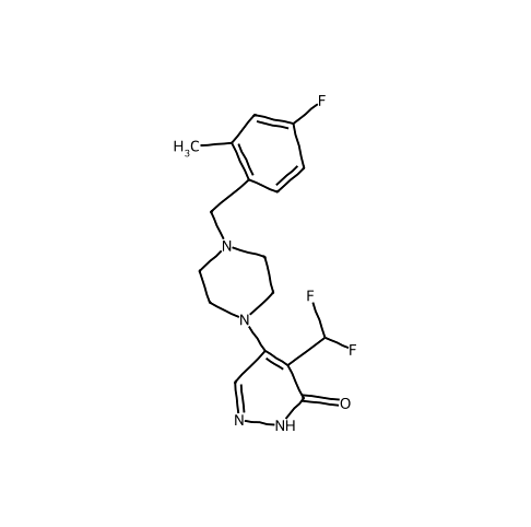 Cc1cc(F)ccc1CN1CCN(c2cn[nH]c(=O)c2C(F)F)CC1